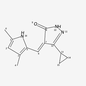 Cc1cc(C)c(C=C2C(=O)NN=C2C2CC2)[nH]1